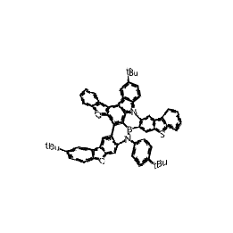 CC(C)(C)c1ccc(N2B3c4cc5sc6ccccc6c5cc4-n4c5ccc(C(C)(C)C)cc5c5c6c(oc7ccccc76)c(c3c54)-c3cc4c(cc32)oc2ccc(C(C)(C)C)cc24)cc1